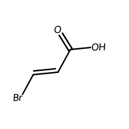 O=C(O)C=CBr